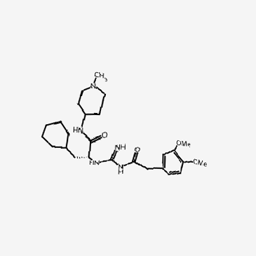 COc1ccc(CC(=O)NC(=N)N[C@H](CC2CCCCC2)C(=O)NC2CCN(C)CC2)cc1OC